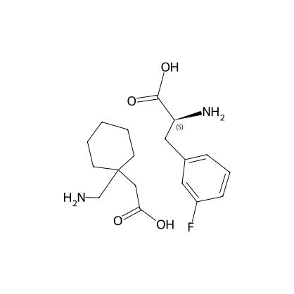 NCC1(CC(=O)O)CCCCC1.N[C@@H](Cc1cccc(F)c1)C(=O)O